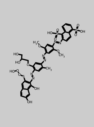 COc1cc(N=Nc2ccc3c(S(=O)(=O)O)cccc3c2S(=O)(=O)O)c(OC)cc1N=Nc1cc(OCC(O)CO)c(N=Nc2c(SOOO)cc3ccc(O)cc3c2O)cc1C